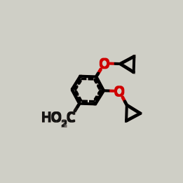 O=C(O)c1ccc(OC2CC2)c(OC2CC2)c1